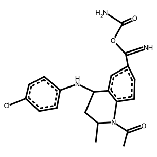 CC(=O)N1c2ccc(C(=N)OC(N)=O)cc2C(Nc2ccc(Cl)cc2)CC1C